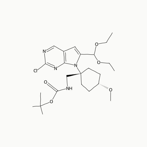 CCOC(OCC)c1cc2cnc(Cl)nc2n1[C@]1(CNC(=O)OC(C)(C)C)CC[C@H](OC)CC1